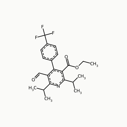 CCOC(=O)c1c(C(C)C)nc(C(C)C)c(C=O)c1-c1ccc(C(F)(F)F)cc1